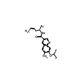 C/C=C\C[C@H](NC(=O)c1cnc2cc(OC(F)F)c(C)cc2c1)C(C)=O